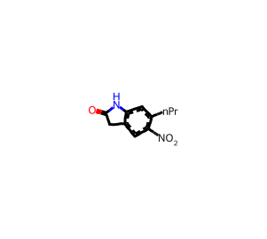 CCCc1cc2c(cc1[N+](=O)[O-])CC(=O)N2